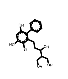 CCc1c(O)cc(O)c(-c2ccccc2)c1CCC(O)C(CO)CO